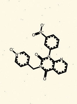 O=c1c2cccnc2n(-c2cccc([N+](=O)[O-])c2)c(=O)n1Cc1cc[n+]([O-])cc1